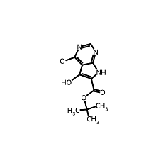 CC(C)(C)OC(=O)c1[nH]c2ncnc(Cl)c2c1O